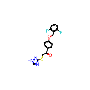 O=C(CSc1nc[nH]n1)c1ccc(OCc2c(F)cccc2F)cc1